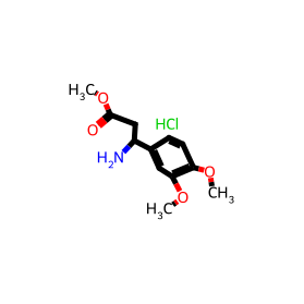 COC(=O)CC(N)c1ccc(OC)c(OC)c1.Cl